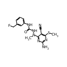 CSc1nc(N)nc(N(C)NC(=O)Nc2cccc(CF)c2)c1C#N